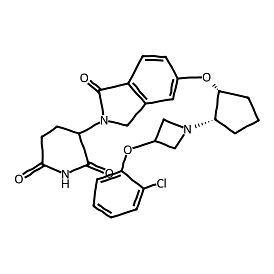 O=C1CCC(N2Cc3cc(O[C@@H]4CCC[C@@H]4N4CC(Oc5ccccc5Cl)C4)ccc3C2=O)C(=O)N1